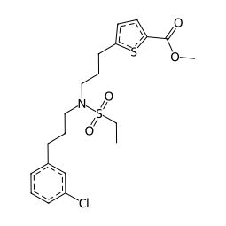 CCS(=O)(=O)N(CCCc1cccc(Cl)c1)CCCc1ccc(C(=O)OC)s1